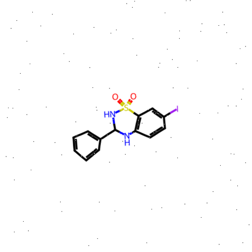 O=S1(=O)NC(c2ccccc2)Nc2ccc(I)cc21